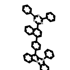 c1ccc(-c2nc(-c3ccccc3)nc(-c3ccc(-c4ccc(-c5c6ccccc6n6c7ccccc7n(-c7ccccc7)c56)cc4)c4ccccc34)n2)cc1